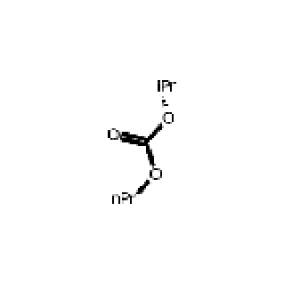 [CH2][C@@H](C)OC(=O)OCCC